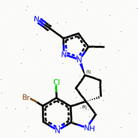 Cc1cc(C#N)nn1[C@H]1CC[C@@]2(CNc3ncc(Br)c(Cl)c32)C1